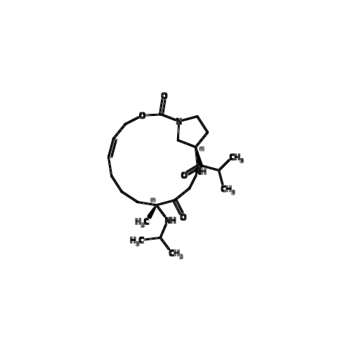 CC(C)N[C@]1(C)CCCC=CCOC(=O)N2CC[C@@](C(=O)C(C)C)(C2)NCC1=O